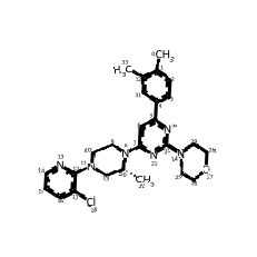 Cc1ccc(-c2cc(N3CCN(c4ncccc4Cl)C[C@H]3C)nc(N3CCOCC3)n2)cc1C